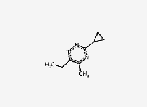 CCc1[c]nc(C2CC2)nc1C